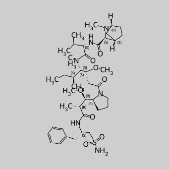 CC[C@H](C)[C@@H]([C@@H](CC(=O)N1CCC[C@H]1[C@H](OC)[C@@H](C)C(=O)N[C@@H](Cc1ccccc1)CS(N)(=O)=O)OC)N(C)C(=O)[C@@H](NC(=O)[C@@H]1[C@H]2CC[C@H](C2)N1C)C(C)C